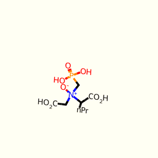 CCCC(C(=O)O)[N+]([O-])(CC(=O)O)CP(=O)(O)O